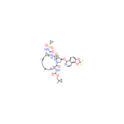 C[C@@H]1CC/C=C\C2C[C@@]2(C(=O)NS(=O)(=O)C2CC2)NC(=O)[C@@H]2C[C@@H](Oc3nccc4c5c(ccc34)OC(F)(F)O5)CN2C(=O)[C@@H](NC(=O)OCC2(C)CC2)[C@H](C)C1